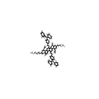 CCCCc1cc(C#N)c2c(c1)C(F)Cc1c-2cc(/C=C/c2ccc(N(c3ccccc3)c3ccccc3)cc2)c2c1c(/C=C/c1ccc(N(c3ccccc3)c3ccccc3)cc1)cc1c2cc(F)c2cc(CCCC)cc(C#N)c21